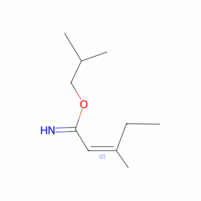 CC/C(C)=C\C(=N)OCC(C)C